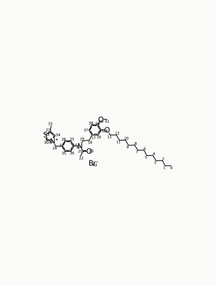 CCCCCCCCCCCCCCOc1cc(CCN(C(C)=O)c2ccc(C[n+]3csc(C)c3)cc2)ccc1OC.[Br-]